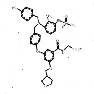 CCOC(=O)CNC(=O)c1cc(OCC2CCOC2)cc(Oc2ccc(CN(Cc3ccc(C#N)cc3)c3cccc(NS(C)(=O)=O)c3C)cc2)c1